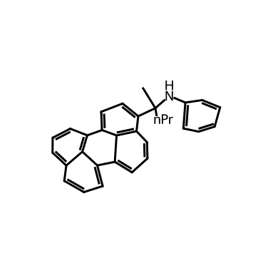 CCCC(C)(Nc1ccccc1)c1ccc2c3cccc4cccc(c5cccc1c52)c43